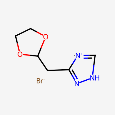 C1=[N+]C(CC2OCCO2)=NN1.[Br-]